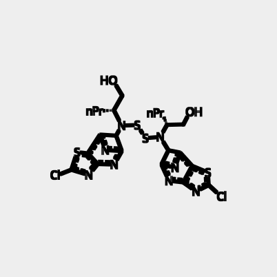 CCC[C@H](CO)N(SSN(C1c2nc1c1sc(Cl)nc1n2)[C@@H](CO)CCC)C1c2nc1c1sc(Cl)nc1n2